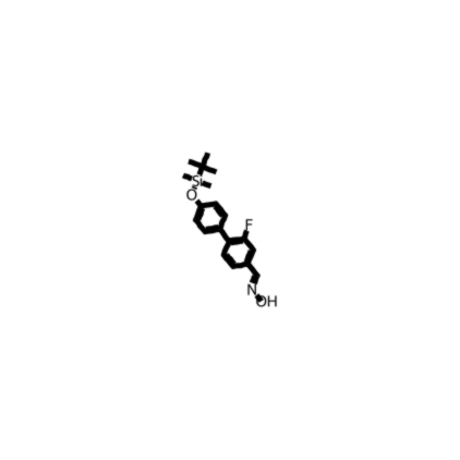 CC(C)(C)[Si](C)(C)Oc1ccc(-c2ccc(/C=N/O)cc2F)cc1